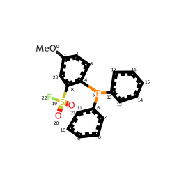 COc1ccc(P(c2ccccc2)c2ccccc2)c(S(=O)(=O)F)c1